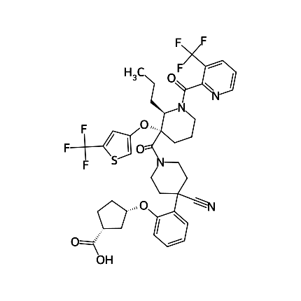 CCC[C@H]1N(C(=O)c2ncccc2C(F)(F)F)CCC[C@@]1(Oc1csc(C(F)(F)F)c1)C(=O)N1CCC(C#N)(c2ccccc2O[C@H]2CC[C@@H](C(=O)O)C2)CC1